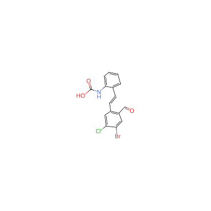 O=Cc1cc(Br)c(Cl)cc1C=Cc1ccccc1NC(=O)O